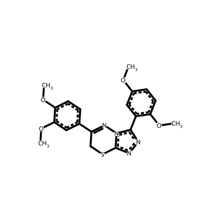 COc1ccc(OC)c(-c2nnc3n2N=C(c2ccc(OC)c(OC)c2)CS3)c1